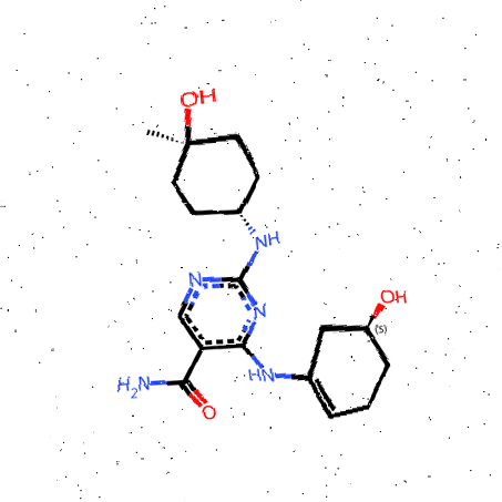 C[C@]1(O)CC[C@H](Nc2ncc(C(N)=O)c(NC3=CCC[C@H](O)C3)n2)CC1